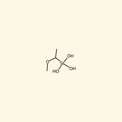 COC(C)[Si](O)(O)O